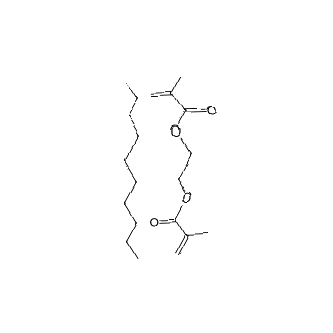 C=C(C)C(=O)OCCOC(=O)C(=C)C.CCCCCCCCCC